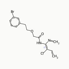 C=C/C(Cl)=C(\N=C)NC(=O)COCCc1cccc(Br)c1